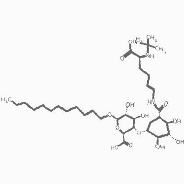 CCCCCCCCCCCCO[C@@H]1O[C@H](C(=O)O)[C@@H](O[C@@H]2C[C@H](C(=O)NCCCC[C@H](NC(C)(C)C)C(=O)O)[C@@H](O)[C@H](O)[C@H]2O)[C@H](O)[C@H]1O